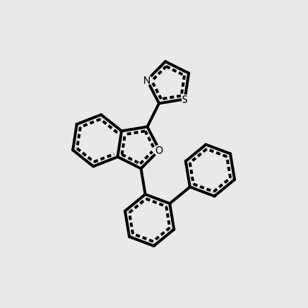 c1ccc(-c2ccccc2-c2oc(-c3nccs3)c3ccccc23)cc1